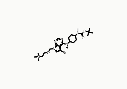 CC(C)(C)OC(=O)NC1CCC(Nc2ncnc3c2c(Br)cn3COCC[Si](C)(C)C)CC1